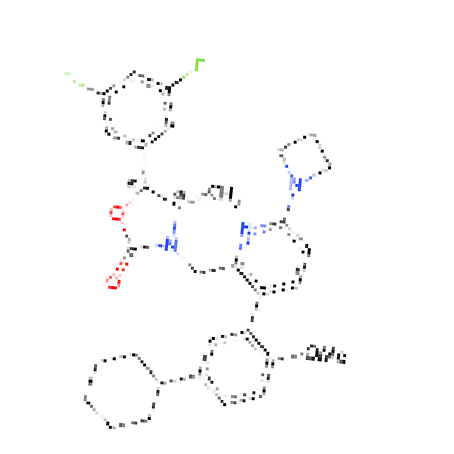 COc1ccc(C2CCCCC2)cc1-c1ccc(N2CCC2)nc1CN1C(=O)O[C@H](c2cc(F)cc(F)c2)[C@@H]1C